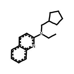 CCN(CC1CCCC1)c1ccc2ccccc2n1